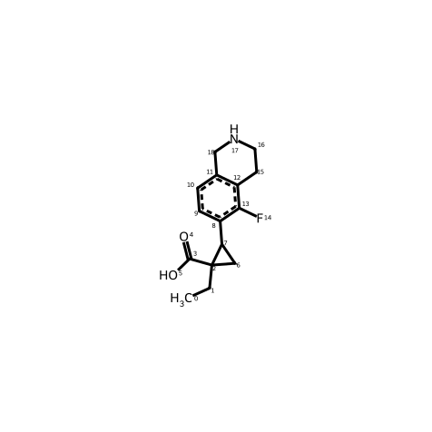 CCC1(C(=O)O)CC1c1ccc2c(c1F)CCNC2